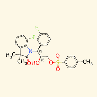 Cc1ccc(S(=O)(=O)OC[C@@H](O)[C@H](c2cccc(F)c2)N2C(=O)C(C)(C)c3cccc(F)c32)cc1